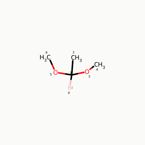 [B]C(C)(OC)OC